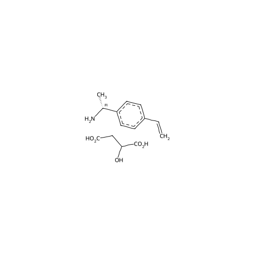 C=Cc1ccc([C@@H](C)N)cc1.O=C(O)CC(O)C(=O)O